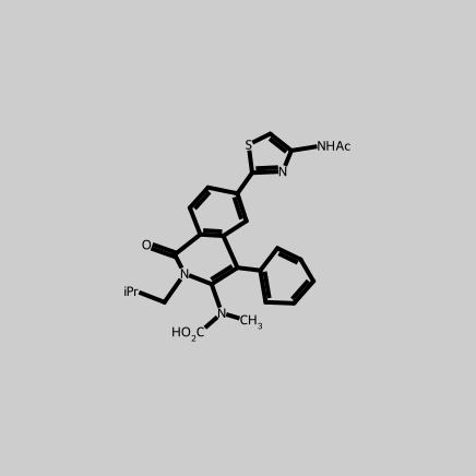 CC(=O)Nc1csc(-c2ccc3c(=O)n(CC(C)C)c(N(C)C(=O)O)c(-c4ccccc4)c3c2)n1